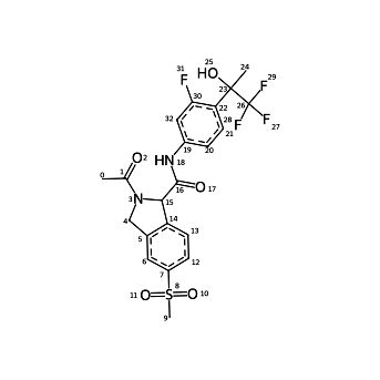 CC(=O)N1Cc2cc(S(C)(=O)=O)ccc2C1C(=O)Nc1ccc(C(C)(O)C(F)(F)F)c(F)c1